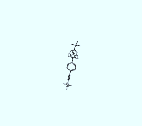 CC(C)(C)C12COC(c3ccc(C#C[Si](C)(C)C)cc3)(OC1)OC2